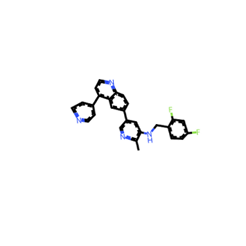 Cc1ncc(-c2ccc3nccc(-c4ccncc4)c3c2)cc1NCc1ccc(F)cc1F